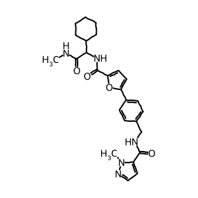 CNC(=O)C(NC(=O)c1ccc(-c2ccc(CNC(=O)c3ccnn3C)cc2)o1)C1CCCCC1